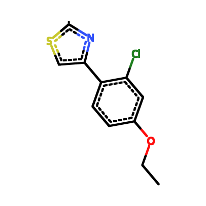 CCOc1ccc(-c2cs[c]n2)c(Cl)c1